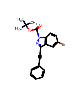 CC(C)(C)OC(=O)n1nc(C#Cc2ccccc2)c2cc(Br)ccc21